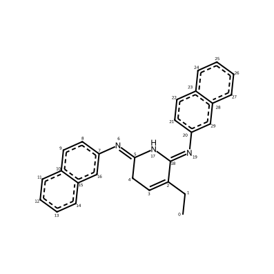 CCC1=CCC(=Nc2ccc3ccccc3c2)NC1=Nc1ccc2ccccc2c1